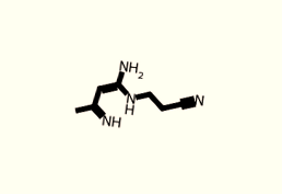 CC(=N)/C=C(/N)NCCC#N